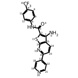 Nc1c(C(=O)Nc2ccc(C(F)(F)F)cc2)sc2nc(-c3ccncc3)ccc12